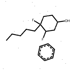 CCCCCC1(F)CCC(O)CC1F.c1ccccc1